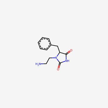 NCCN1C(=O)NC(=O)C1Cc1ccccc1